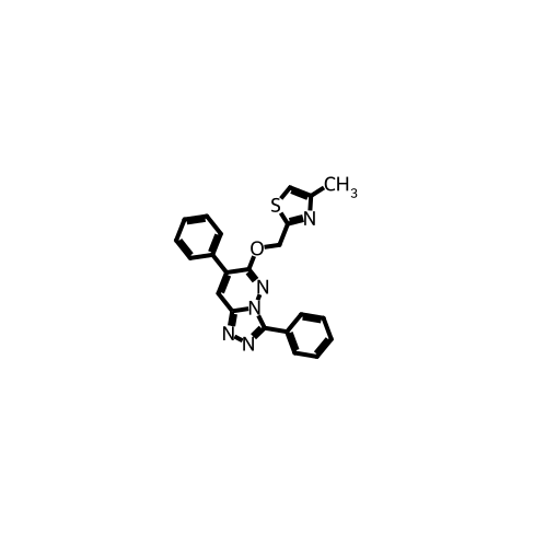 Cc1csc(COc2nn3c(-c4ccccc4)nnc3cc2-c2ccccc2)n1